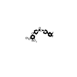 CCOc1cc(OC2CCN(C(=O)CCN3CCC(c4ccc(F)c(F)c4)CC3)CC2)ccc1[N+](=O)[O-]